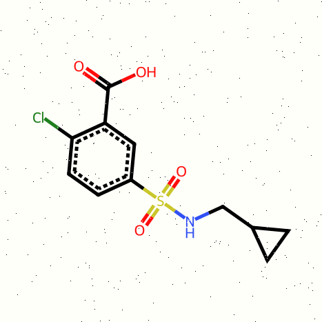 O=C(O)c1cc(S(=O)(=O)NCC2CC2)ccc1Cl